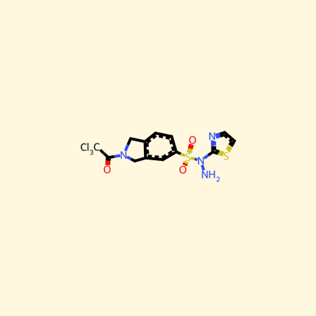 NN(c1nccs1)S(=O)(=O)c1ccc2c(c1)CN(C(=O)C(Cl)(Cl)Cl)C2